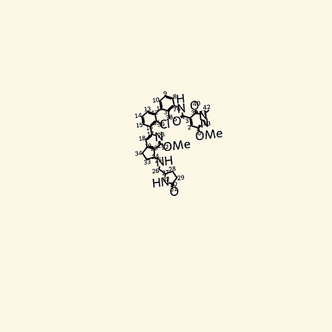 COc1cc(C(=O)Nc2cccc(-c3cccc(-c4cc5c(c(OC)n4)C(NCC4CCC(=O)N4)CC5)c3Cl)c2C)c(=O)n(C)n1